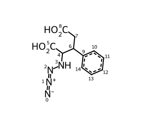 [N-]=[N+]=NNC(C(=O)O)C(CC(=O)O)c1ccccc1